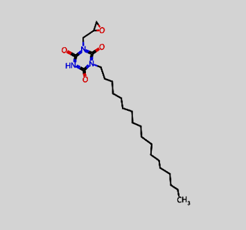 CCCCCCCCCCCCCCCCCCn1c(=O)[nH]c(=O)n(CC2CO2)c1=O